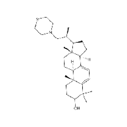 C[C@H](CN1CCSCC1)[C@H]1CC[C@H]2C3=CC=C4C(C)(C)C(O)CC[C@]4(C)[C@H]3CC[C@]12C